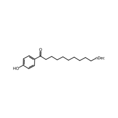 CCCCCCCCCCCCCCCCCCCC(=O)c1ccc(O)cc1